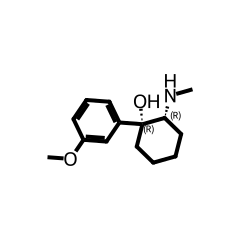 CN[C@@H]1CCCC[C@@]1(O)c1cccc(OC)c1